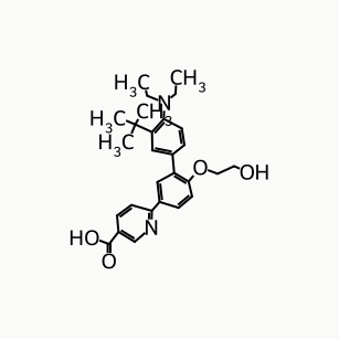 CCN(CC)c1ccc(-c2cc(-c3ccc(C(=O)O)cn3)ccc2OCCO)cc1C(C)(C)C